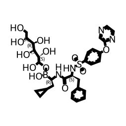 O=C(N[C@@H](CC1CC1)B(O)OC(O)[C@@H](O)[C@@H](O)[C@H](O)[C@H](O)CO)[C@H](Cc1ccccc1)NS(=O)(=O)c1ccc(Oc2cnccn2)cc1